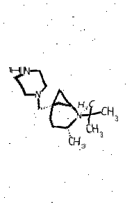 C[C@@H]1C[C@@]2(CN3CCNCC3)CC2N1C(C)(C)C